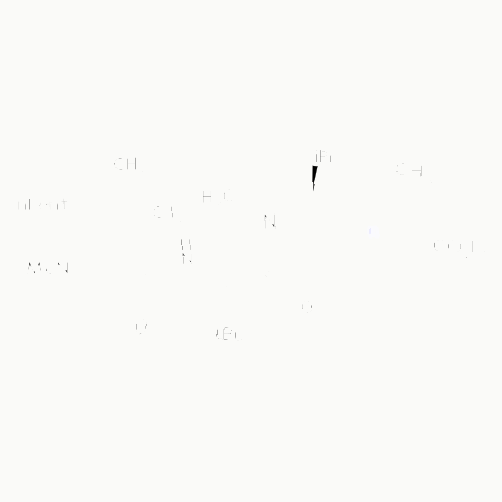 CCCCCC(C)(C)C(NC)C(=O)N[C@H](C(=O)N(C)[C@H](/C=C(\C)C(=O)OCC)C(C)C)C(C)(C)C